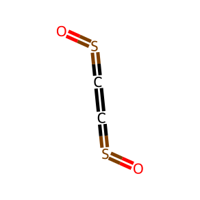 O=S=C=C=S=O